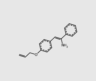 C=CCOc1ccc(/C=C(\N)c2ccccc2)cc1